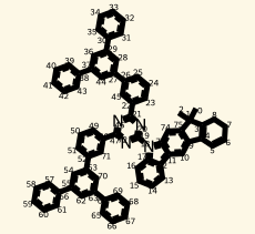 CC1(C)C2=C(C=CCC2)c2cc3c4ccccc4n(-c4nc(-c5cccc(-c6cc(-c7ccccc7)cc(-c7ccccc7)c6)c5)nc(-c5cccc(-c6cc(-c7ccccc7)cc(-c7ccccc7)c6)c5)n4)c3cc21